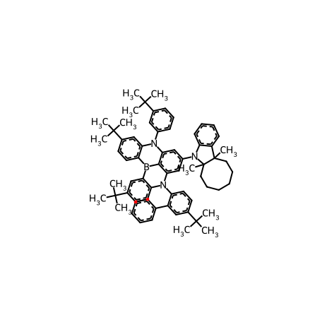 CC(C)(C)c1cccc(N2c3cc(C(C)(C)C)ccc3B3c4cc(C(C)(C)C)ccc4N(c4ccc(C(C)(C)C)cc4-c4ccccc4)c4cc(N5c6ccccc6C6(C)CCCCCCC56C)cc2c43)c1